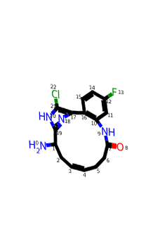 NC1CC=CCCC(=O)Nc2cc(F)ccc2-c2nc1[nH]c2Cl